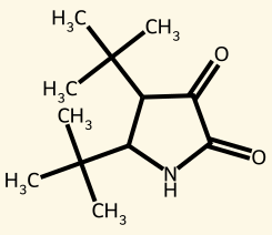 CC(C)(C)C1NC(=O)C(=O)C1C(C)(C)C